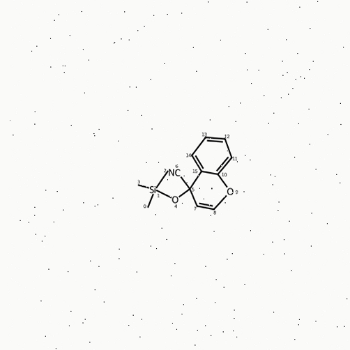 C[Si](C)(C)OC1(C#N)C=COc2ccccc21